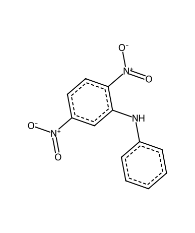 O=[N+]([O-])c1ccc([N+](=O)[O-])c(Nc2ccccc2)c1